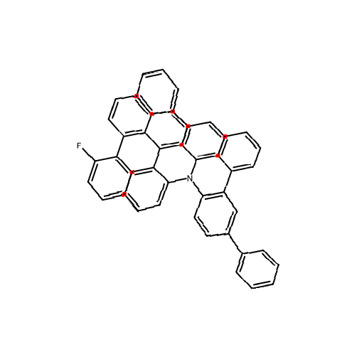 Fc1ccccc1-c1cccc2cccc(-c3ccccc3N(c3cccc(-c4ccccc4)c3)c3ccc(-c4ccccc4)cc3-c3ccccc3)c12